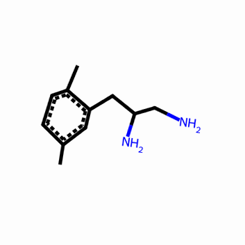 Cc1ccc(C)c(CC(N)CN)c1